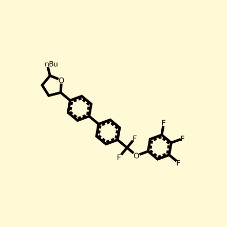 CCCCC1CCC(c2ccc(-c3ccc(C(F)(F)Oc4cc(F)c(F)c(F)c4)cc3)cc2)O1